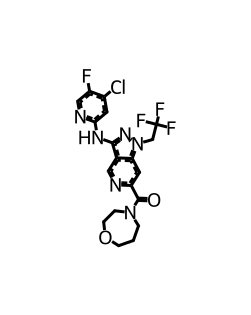 O=C(c1cc2c(cn1)c(Nc1cc(Cl)c(F)cn1)nn2CC(F)(F)F)N1CCCOCC1